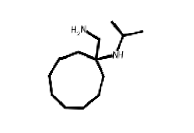 CC(C)NC1(CN)CCCCCCCC1